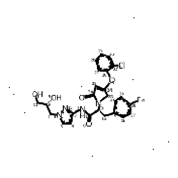 O=C(Nc1ccn(C[C@@H](O)CO)n1)[C@H](Cc1ccc(F)cc1)N1CC(Oc2ccccc2Cl)=CC1=O